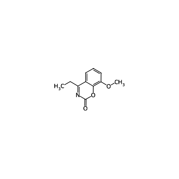 CCc1nc(=O)oc2c(OC)cccc12